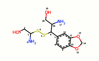 NC(CO)SSC(c1ccc2c(c1)OCO2)C(N)CO